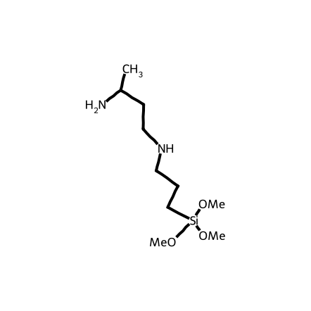 CO[Si](CCCNCCC(C)N)(OC)OC